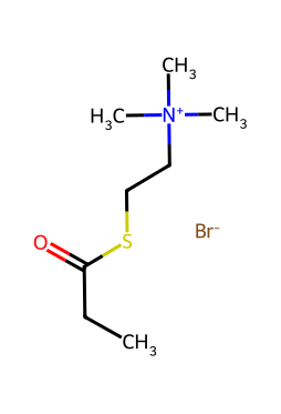 CCC(=O)SCC[N+](C)(C)C.[Br-]